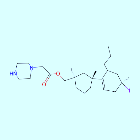 CCCC1C[C@@](C)(I)CC=C1[C@]1(C)CCC[C@@](C)(COC(=O)CN2CCNCC2)C1